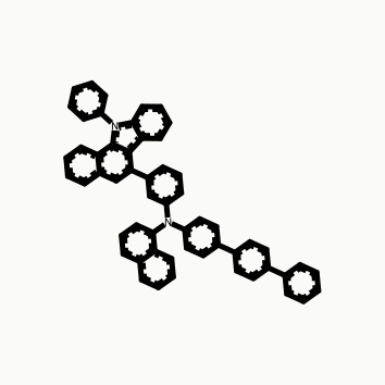 c1ccc(-c2ccc(-c3ccc(N(c4cccc(-c5cc6ccccc6c6c5c5ccccc5n6-c5ccccc5)c4)c4cccc5ccccc45)cc3)cc2)cc1